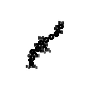 CCC(=O)Nc1nc(Nc2cc(-c3ccnc(N4CCn5c(cc6c5CC(C)(C)C6)C4=O)c3CO)cn(C)c2=O)ccc1N1CCN(C2CCN(c3ccc4c(c3)C(=O)N(C3CCC(=O)NC3=O)C4=O)CC2)C[C@@H]1C